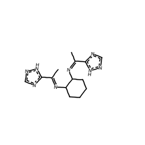 CC(=NC1CCCCC1N=C(C)c1ncn[nH]1)c1ncn[nH]1